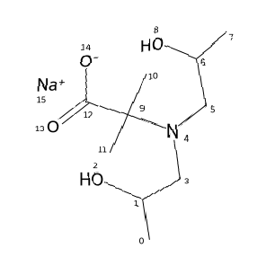 CC(O)CN(CC(C)O)C(C)(C)C(=O)[O-].[Na+]